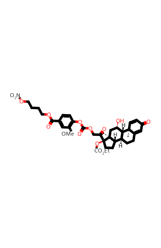 CCOC(=O)O[C@]1(C(=O)COC(=O)Oc2ccc(C(=O)OCCCCO[N+](=O)[O-])cc2OC)CC[C@H]2[C@@H]3CCC4=CC(=O)C=C[C@]4(C)[C@H]3[C@@H](O)C[C@@]21C